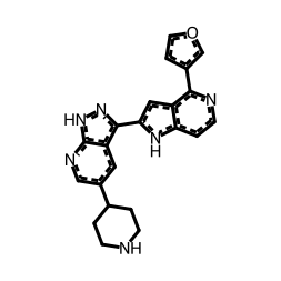 c1cc2[nH]c(-c3n[nH]c4ncc(C5CCNCC5)cc34)cc2c(-c2ccoc2)n1